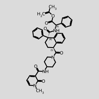 C=C(C)OC(=O)[C@H](NC(=O)[C@@]1(c2ccccc2)CC[C@H](C(=O)N2CCC(NC(=O)c3cccn(C)c3=O)CC2)c2ccccc21)c1ccccc1